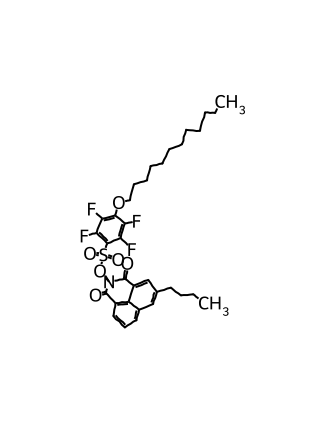 CCCCCCCCCCCCOc1c(F)c(F)c(S(=O)(=O)ON2C(=O)c3cccc4cc(CCCC)cc(c34)C2=O)c(F)c1F